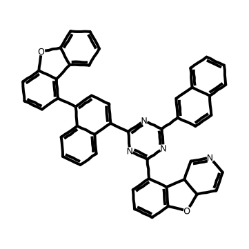 C1=CC2Oc3cccc(-c4nc(-c5ccc6ccccc6c5)nc(-c5ccc(-c6cccc7oc8ccccc8c67)c6ccccc56)n4)c3C2C=N1